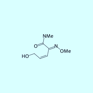 CNC(=O)C(/C=C\CO)=N/OC